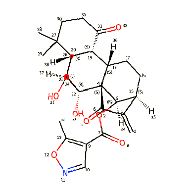 C=C1C(=O)[C@]23[C@H](OC(=O)c4cnoc4C)[C@H]1CC[C@H]2[C@@]12CO[C@@]3(O)[C@@H](O)[C@@H]1C(C)(C)CCC2=O